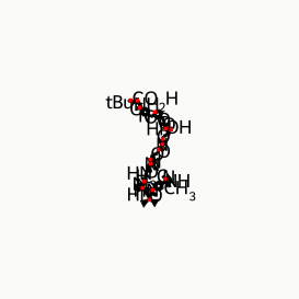 Cc1n[nH]c(C)c1-c1ccc(NC(=O)[C@@H](NC(=O)c2ccnn2CCCNC(=O)Cn2cc(COCC(=O)N3CC(OCC(CO)NC(=O)COc4cccc(Oc5ccc(C(=O)N[C@@H](CCC(C)(C)C)C(=O)O)cn5)c4)C3)nn2)C(C2CC2)C2CC2)cc1